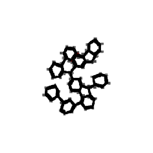 c1ccc(-c2cccc(-c3cccc4c3c3ccc(N(c5ccc6c(c5)sc5ccccc56)c5ccccc5-c5ccccc5)cc3n4-c3ccccc3)c2)cc1